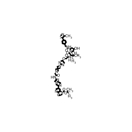 Cc1ncsc1-c1ccc(CNC(=O)[C@@H]2C[C@@H](O)CN2C(=O)[C@@H](NC(=O)COc2cnc(N3CC4(CN(CC(=O)Nc5cn6cc(-c7cnc8c(c7)N(C(=O)OC(C)C)CCO8)ncc6n5)C4)C3)nc2)C(C)(C)C)cc1